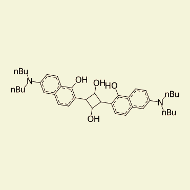 CCCCN(CCCC)c1ccc2c(O)c(C3C(O)C(c4ccc5cc(N(CCCC)CCCC)ccc5c4O)C3O)ccc2c1